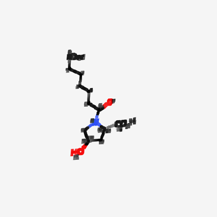 CCCCCCCCCCCCCCCC(=O)N1C[C@H](O)C[C@H]1C(=O)O